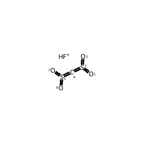 F.O=S(=O)=C=S(=O)=O